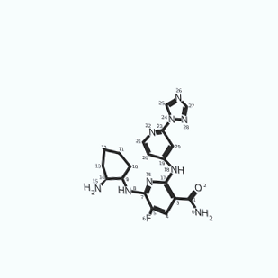 NC(=O)c1cc(F)c(NC2CCCC[C@@H]2N)nc1Nc1ccnc(-n2cncn2)c1